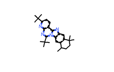 CC1CCC(C)(C)c2cc3nc4c5ccc(C(C)(C)C)nc5nc(C(C)(C)C)n4c3cc21